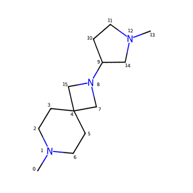 CN1CCC2(CC1)CN(C1CCN(C)C1)C2